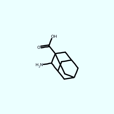 NC1C2CC3CC(C2)CC1(C(=O)O)C3